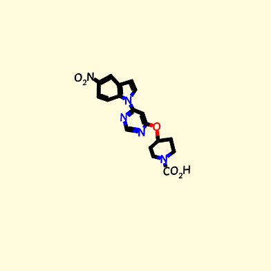 O=C(O)N1CCC(Oc2cc(-n3ccc4cc([N+](=O)[O-])ccc43)ncn2)CC1